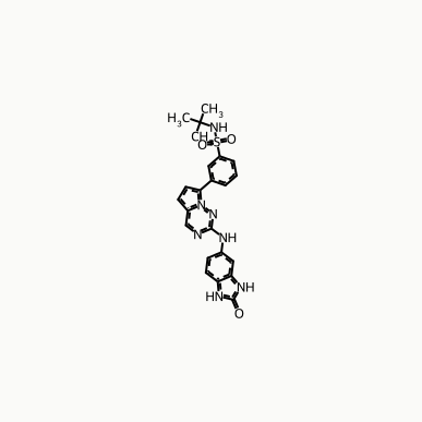 CC(C)(C)NS(=O)(=O)c1cccc(-c2ccc3cnc(Nc4ccc5[nH]c(=O)[nH]c5c4)nn23)c1